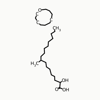 C1CCCCCOCCCC1.CCCCCCCCCC(C)CCCCCCC(O)C(=O)O